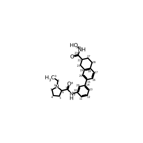 CCN1CCCC1C(=O)Nc1cccc(-c2ccc3c(c2)CC(C(=O)NO)CC3)c1